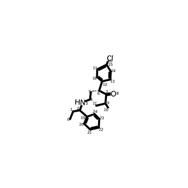 CCC(NCC[C@@H](C(=O)C(C)C)c1ccc(Cl)cc1)c1ccccc1